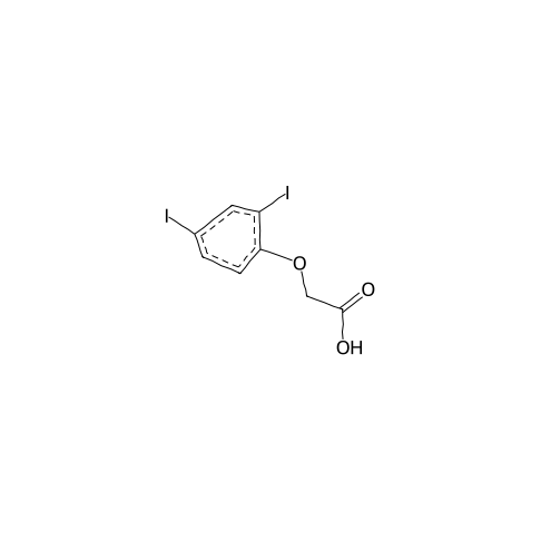 O=C(O)COc1ccc(I)cc1I